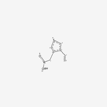 C=Cc1cscc1CC(=O)OC